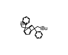 CCC(C)CC1(c2ccccc2)C2=CC=C3C1=C2C3(CC(C)CC)c1ccccc1